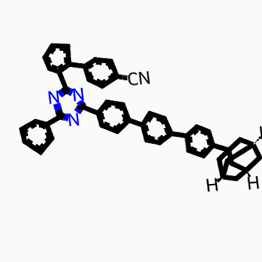 N#Cc1ccc(-c2ccccc2-c2nc(-c3ccccc3)nc(-c3ccc(-c4ccc(-c5ccc(C67C[C@H]8C[C@H](C6)C[C@@H](C7)C8)cc5)cc4)cc3)n2)cc1